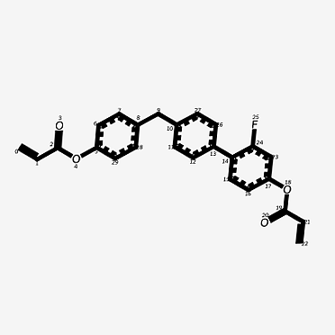 C=CC(=O)Oc1ccc(Cc2ccc(-c3ccc(OC(=O)C=C)cc3F)cc2)cc1